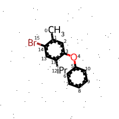 Cc1cc(Oc2ccccc2)c(C(C)C)cc1Br